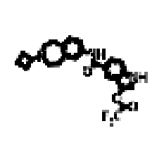 O=C(Nc1ccc2c(c1)CCN(C1CCC1)CC2)c1ccc2[nH]cc(OC(=O)C(F)(F)F)c2c1